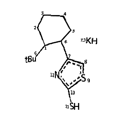 CC(C)(C)C1CCCCC1c1csc(S)n1.[KH]